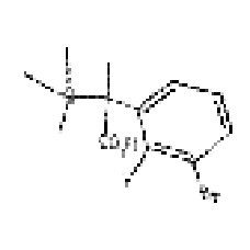 CCOC(=O)C(C)(c1cccc(Br)c1F)[Si](C)(C)C